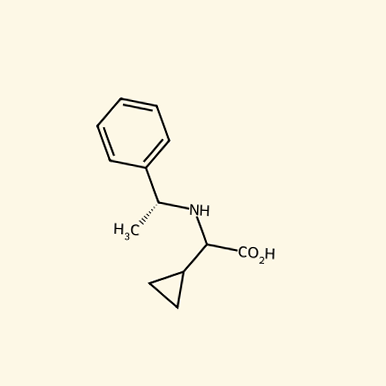 C[C@@H](NC(C(=O)O)C1CC1)c1ccccc1